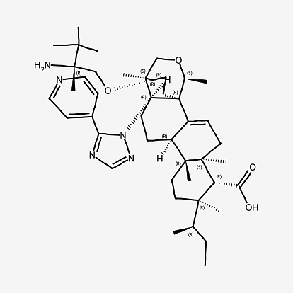 CC[C@@H](C)[C@@]1(C)CC[C@]2(C)[C@H]3CC[C@H]4[C@@]5(C)CO[C@@H](C)[C@@]4(C[C@@H](n4ncnc4-c4ccncc4)[C@@H]5OC[C@](C)(N)C(C)(C)C)C3=CC[C@@]2(C)[C@@H]1C(=O)O